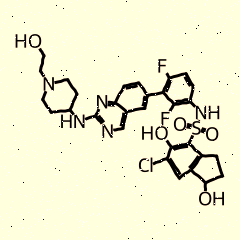 O=S(=O)(Nc1ccc(F)c(-c2ccc3nc(NC4CCN(CCO)CC4)ncc3c2)c1F)c1c(O)c(Cl)cc2c1CCC2O